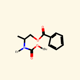 CCN(C(=O)OC(C)(C)C)C(C)COC(=O)c1ccccc1